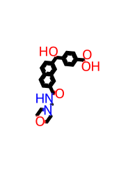 O=C(O)c1ccc(C(O)c2ccc3ccc(C(=O)NCN4CCOCC4)cc3c2)cc1